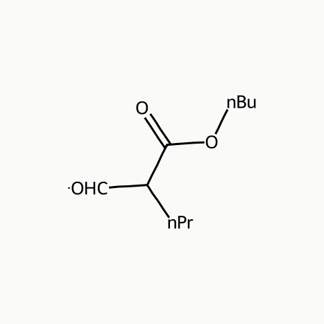 CCCCOC(=O)C([C]=O)CCC